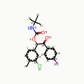 Cc1ccc(C(OC(=O)NC(C)(C)C)C(=O)c2ccc(I)cc2)cc1Cl